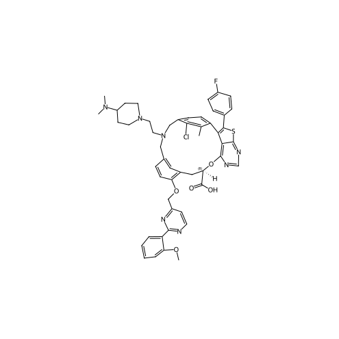 COc1ccccc1-c1nccc(COc2ccc3cc2C[C@H](C(=O)O)Oc2ncnc4sc(-c5ccc(F)cc5)c(c24)-c2ccc(c(Cl)c2C)CN(CCN2CCC(N(C)C)CC2)C3)n1